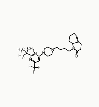 CC(C)(C)c1nc(N2CCN(CCCCN3C(=O)CCC4=CCCCC43)CC2)cc(C(F)(F)F)n1